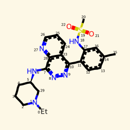 CCN1CCC[C@@H](Nc2nnc(-c3ccc(C)cc3NS(C)(=O)=O)c3cccnc23)C1